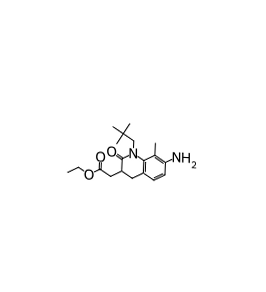 CCOC(=O)CC1Cc2ccc(N)c(C)c2N(CC(C)(C)C)C1=O